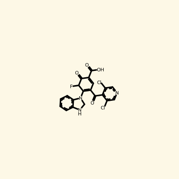 O=C(O)C1=CC(C(=O)c2c(Cl)cncc2Cl)=C(N2CNc3ccccc32)C(F)C1=O